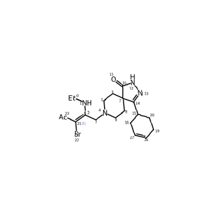 CCN/C(CN1CCC2(CC1)C(=O)NN=C2C1CC=CCC1)=C(/Br)C(C)=O